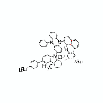 CC(C)(C)c1ccc(-c2ccc3c(c2)C2(C)CCCCC2(C)N3c2cc3c4c(c2)N(c2ccc(C(C)(C)C)cc2-c2ccccc2)c2ccccc2B4c2ccccc2N3c2ccccc2)cc1